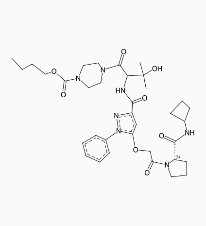 CCCCOC(=O)N1CCN(C(=O)C(NC(=O)c2cc(OCC(=O)N3CCC[C@H]3C(=O)NC3CCC3)n(-c3ccccc3)n2)C(C)(C)O)CC1